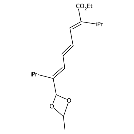 CCOC(=O)/C(=C/C=C/C=C(\C(C)C)C1OC(C)O1)C(C)C